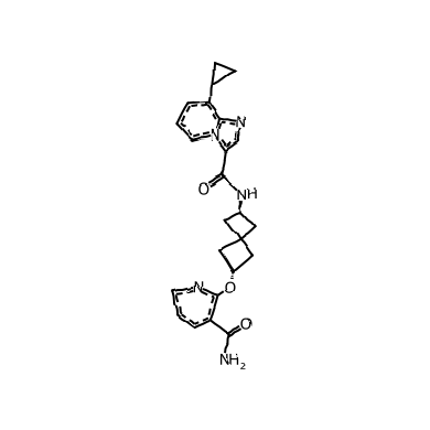 NC(=O)c1cccnc1O[C@H]1CC2(C[C@H](NC(=O)c3cnc4c(C5CC5)cccn34)C2)C1